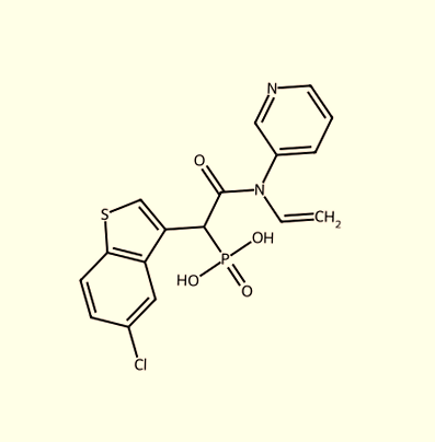 C=CN(C(=O)C(c1csc2ccc(Cl)cc12)P(=O)(O)O)c1cccnc1